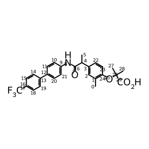 Cc1cc(C(C)C(=O)Nc2ccc(-c3ccc(C(F)(F)F)cc3)cc2)ccc1OC(C)(C)C(=O)O